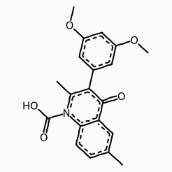 COc1cc(OC)cc(-c2c(C)n(C(=O)O)c3ccc(C)cc3c2=O)c1